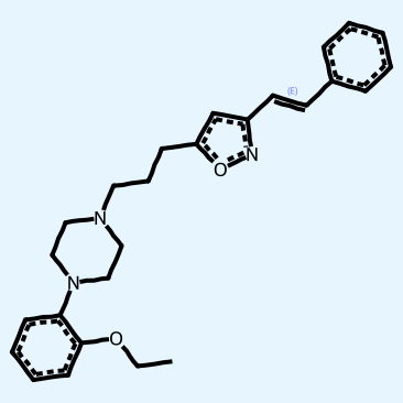 CCOc1ccccc1N1CCN(CCCc2cc(/C=C/c3ccccc3)no2)CC1